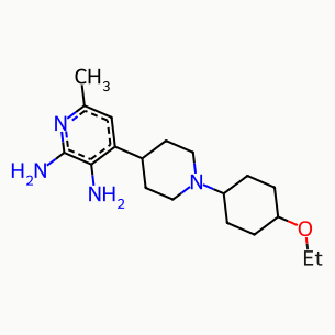 CCOC1CCC(N2CCC(c3cc(C)nc(N)c3N)CC2)CC1